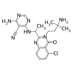 CC(Nc1ncnc(N)c1C#N)c1nc2cccc(Cl)c2c(=O)n1CCC(C)(C)N